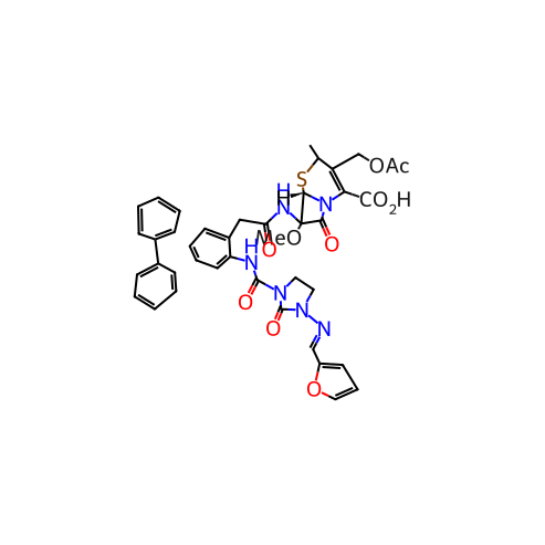 COC1(NC(=O)Cc2ccccc2NC(=O)N2CCN(N=Cc3ccco3)C2=O)C(=O)N2C(C(=O)O)=C(COC(C)=O)C(C)S[C@H]21.c1ccc(-c2ccccc2)cc1